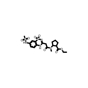 CCOC(=O)C1CCCC1N(C)C(=O)CC1=NS(=O)(=O)c2cc(NS(C)(=O)=O)ccc2N1